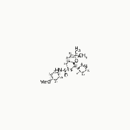 COc1ccc(NC(=O)c2cc3c(c(-c4cccnc4)c2)OC(C)(C)C=C3)cc1